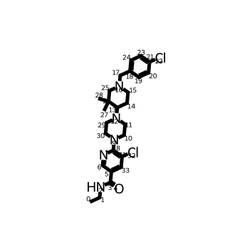 CCNC(=O)c1cnc(N2CCN(C3CCN(Cc4ccc(Cl)cc4)CC3(C)C)CC2)c(Cl)c1